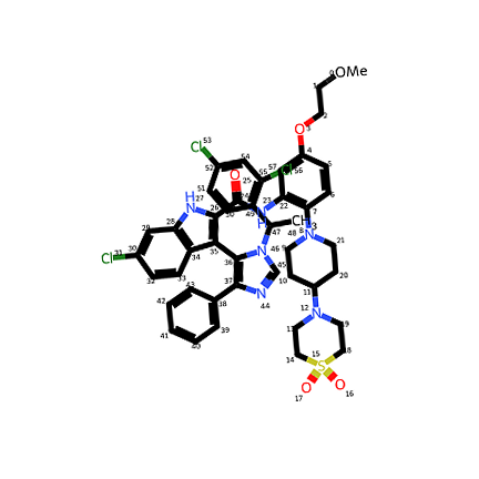 COCCOc1ccc(N2CCC(N3CCS(=O)(=O)CC3)CC2)c(NC(=O)c2[nH]c3cc(Cl)ccc3c2-c2c(-c3ccccc3)ncn2C(C)c2ccc(Cl)cc2Cl)c1